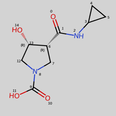 O=C(NC1CC1)[C@@H]1CN(C(=O)O)C[C@@H]1O